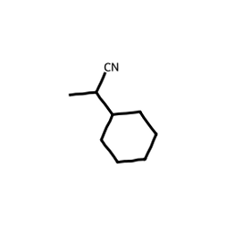 CC(C#N)C1CCCCC1